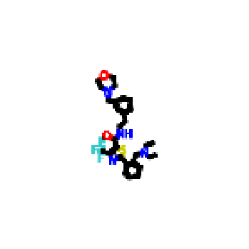 CCN(CC)Cc1ccccc1-c1nc(C(F)(F)F)c(C(=O)NCCc2cccc(CN3CCOCC3)c2)s1